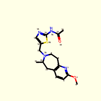 COc1ccc2c(n1)CCN(Cc1cnc(NC(C)=O)s1)C(C)C2